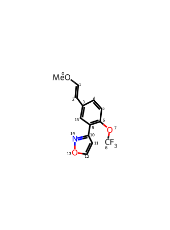 COC=Cc1ccc(OC(F)(F)F)c(-c2ccon2)c1